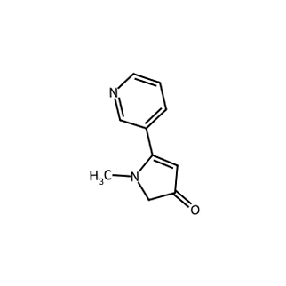 CN1CC(=O)C=C1c1cccnc1